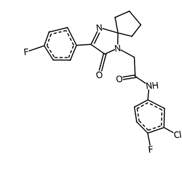 O=C(CN1C(=O)C(c2ccc(F)cc2)=NC12CCCC2)Nc1ccc(F)c(Cl)c1